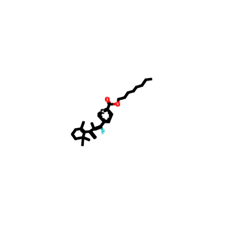 C=C(C1=C(C)CCCC1(C)C)/C(C)=C(\F)c1ccc(C(=O)OCCCCCCCC)cc1